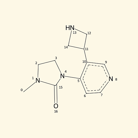 CN1CCN(c2ccncc2C2CNC2)C1=O